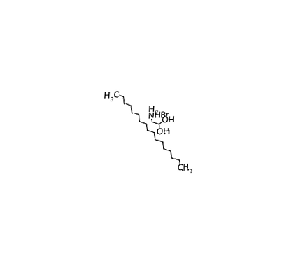 Br.CCCCCCCCCCCCCCCCC.NCC(O)O